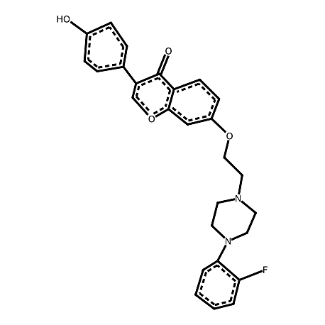 O=c1c(-c2ccc(O)cc2)coc2cc(OCCN3CCN(c4ccccc4F)CC3)ccc12